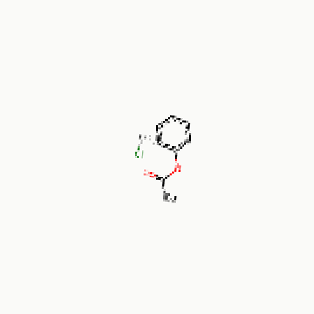 CCC(C)C(=O)Oc1ccccc1.O=C(O)Cl